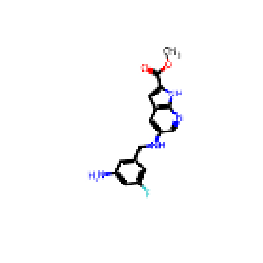 COC(=O)c1cc2cc(NCc3cc(N)cc(F)c3)cnc2[nH]1